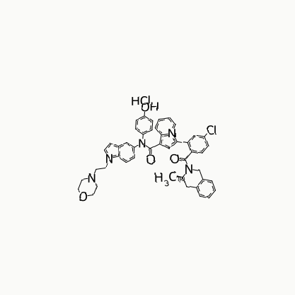 C[C@@H]1Cc2ccccc2CN1C(=O)c1ccc(Cl)cc1-c1cc(C(=O)N(c2ccc(O)cc2)c2ccc3c(ccn3CCN3CCOCC3)c2)c2ccccn12.Cl